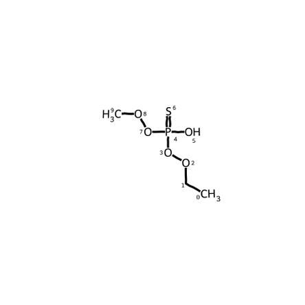 CCOOP(O)(=S)OOC